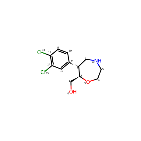 OC[C@@H]1OCCNC[C@H]1c1ccc(Cl)c(Cl)c1